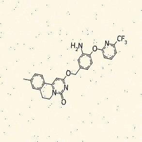 Cc1ccc2c(c1)CCn1c-2cc(OCc2ccc(Oc3cccc(C(F)(F)F)n3)c(N)c2)nc1=O